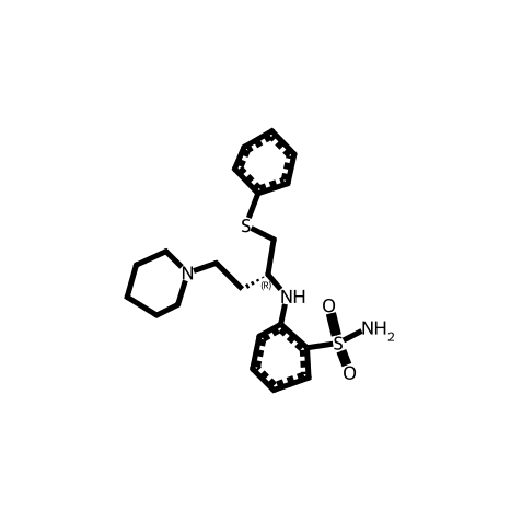 NS(=O)(=O)c1ccccc1N[C@H](CCN1CCCCC1)CSc1ccccc1